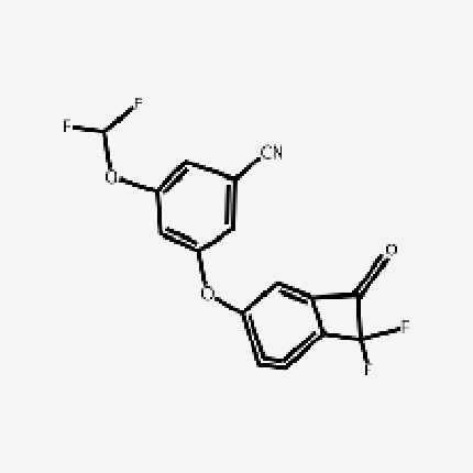 N#Cc1cc(OC2=C=C=C3C(=C2)C(=O)C3(F)F)cc(OC(F)F)c1